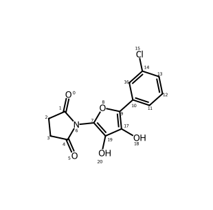 O=C1CCC(=O)N1c1oc(-c2cccc(Cl)c2)c(O)c1O